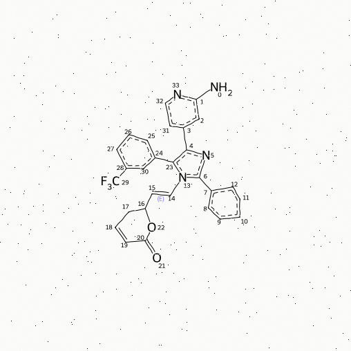 Nc1cc(-c2nc(-c3ccccc3)n(/C=C/C3CC=CC(=O)O3)c2-c2cccc(C(F)(F)F)c2)ccn1